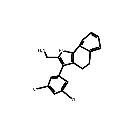 NCc1[nH]c2c(c1-c1cc(Cl)cc(Cl)c1)CCc1ccccc1-2